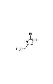 C=Cc1c[nH]c(Br)n1